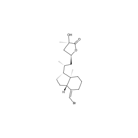 C[C@H](C[C@H]1C[C@@](C)(O)C(=O)O1)[C@H]1CC[C@H]2/C(=C/Br)CCC[C@]12C